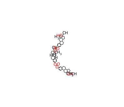 C#C[C@]1(O)CCC2C3CCc4cc(OC(=O)Oc5ccc6c(c5)CC[C@@H]5[C@@H]6CC[C@@]6(C)[C@H]5CC[C@]6(C#C)OC(=O)Oc5ccc6c(c5)CCC5C6CC[C@@]6(C)C5CC[C@@]6(O)C#C)ccc4C3CC[C@@]21C